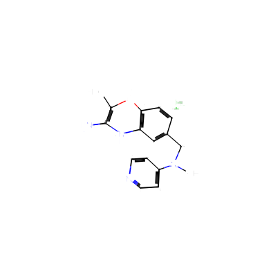 CC1=C(N)Nc2cc(CN(C)c3ccncc3)ccc2O1.Cl.Cl